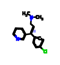 CN(C)C/C=C(/c1ccc(Cl)cc1)c1cccnc1